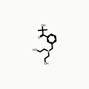 CC(C)(O)C(=O)c1cccc(CN(CCO)CCO)c1